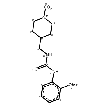 COc1ccccc1NC(=O)NCC1CCN(C(=O)O)CC1